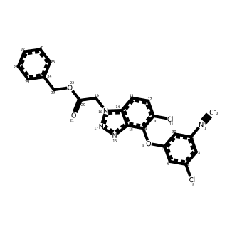 [C-]#[N+]c1cc(Cl)cc(Oc2c(Cl)ccc3c2nnn3CC(=O)OCc2ccccc2)c1